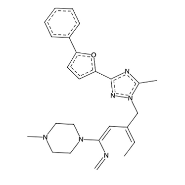 C=N/C(=C\C(=C/C)Cn1nc(-c2ccc(-c3ccccc3)o2)nc1C)N1CCN(C)CC1